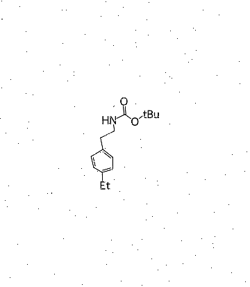 CCc1ccc(CCNC(=O)OC(C)(C)C)cc1